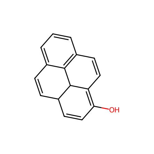 OC1=C2C=Cc3cccc4c3C2C(C=C1)C=C4